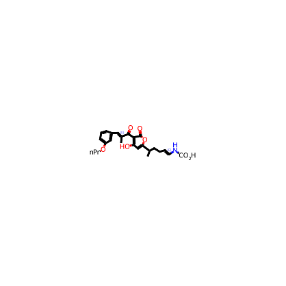 CCCOc1cccc(/C=C(\C)C(=O)c2c(O)cc(C(C)CC/C=C/NC(=O)O)oc2=O)c1